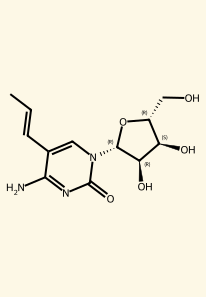 CC=Cc1cn([C@@H]2O[C@H](CO)[C@@H](O)[C@H]2O)c(=O)nc1N